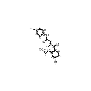 O=C(CN1C[C@@]2(C[C@H]2Cl)c2cc(Br)ccc2C1=O)Nc1ncc(F)cn1